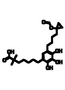 CC(C)(CCCCCc1cc(CCCCC2(OC=O)CC2)c(O)c(O)c1O)C(=O)O